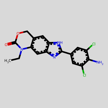 CCN1C(=O)OCc2cc3[nH]c(-c4cc(Cl)c(N)c(Cl)c4)nc3cc21